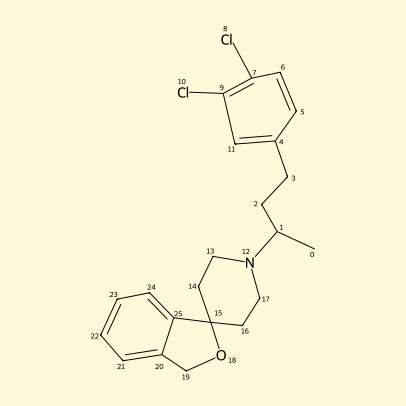 CC(CCc1ccc(Cl)c(Cl)c1)N1CCC2(CC1)OCc1ccccc12